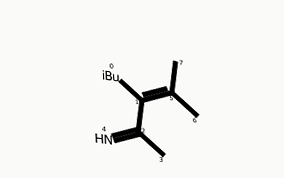 CCC(C)C(C(C)=N)=C(C)C